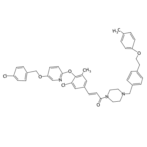 Cc1ccc(OCCc2ccc(CN3CCN(C(=O)C=Cc4cc(C)c(Oc5ccc(OCc6ccc(Cl)cc6)cn5)c(Cl)c4)CC3)cc2)cc1